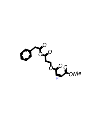 COC(=O)/C=C\C(=O)OCCC(=O)OC(=O)Cc1ccccc1